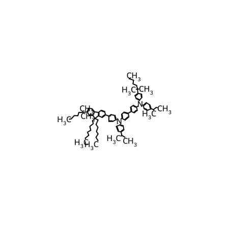 CCCCCCCCC1(CCCCCCCC)c2cc(-c3ccc(N(c4ccc(-c5ccc(N(c6ccc(C(C)CC)cc6)c6ccc(C(C)(C)CCCCC)cc6)cc5)cc4)c4ccc(C(C)CC)cc4)cc3)ccc2-c2ccc(C(C)(C)CCCCC)cc21